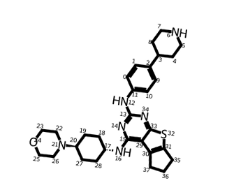 c1cc(C2CCNCC2)ccc1Nc1nc(N[C@H]2CC[C@H](N3CCOCC3)CC2)c2c3c(sc2n1)CCC3